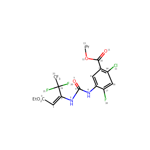 CCOC(=O)C=C(NC(=O)Nc1cc(C(=O)OC(C)C)c(Cl)cc1F)C(F)(F)C(F)(F)F